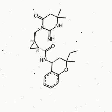 CCC1(C)CC(NC(=O)[C@@H]2C[C@H]2CN2C(=N)NC(C)(C)CC2=O)c2ccccc2O1